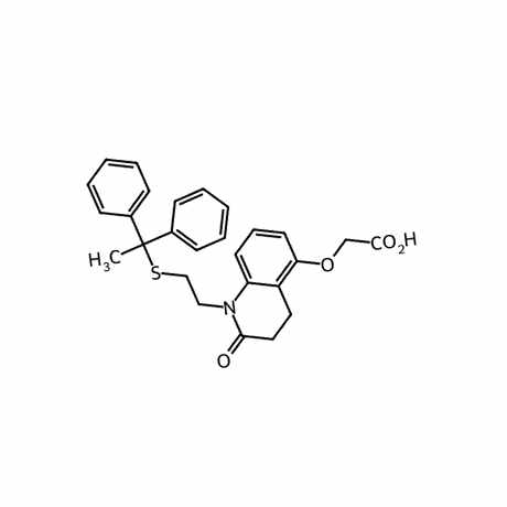 CC(SCCN1C(=O)CCc2c(OCC(=O)O)cccc21)(c1ccccc1)c1ccccc1